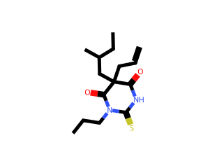 C=CCC1(CC(C)CC)C(=O)NC(=S)N(CCC)C1=O